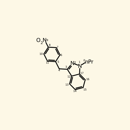 CCCn1nc(Cc2ccc([N+](=O)[O-])cc2)c2ccccc21